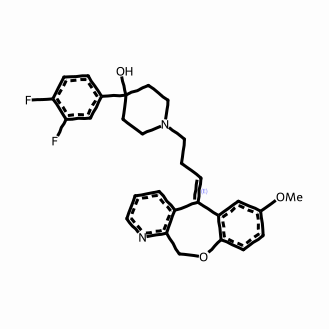 COc1ccc2c(c1)/C(=C/CCN1CCC(O)(c3ccc(F)c(F)c3)CC1)c1cccnc1CO2